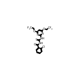 O=C(NC(=S)Nc1nc(OCC(F)(F)F)cc(OCC(F)(F)F)n1)c1ccccc1Cl